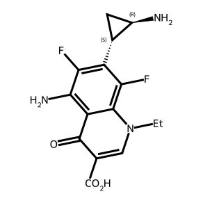 CCn1cc(C(=O)O)c(=O)c2c(N)c(F)c([C@@H]3C[C@H]3N)c(F)c21